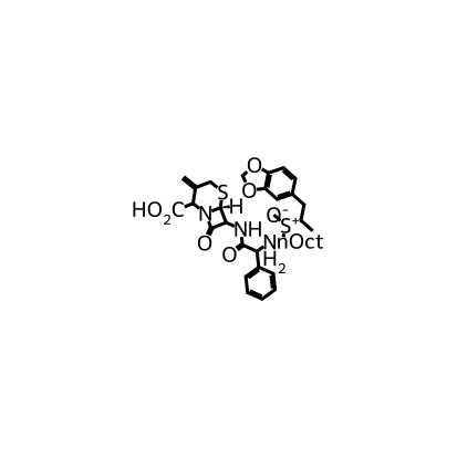 C=C1CS[C@@H]2C(NC(=O)C(N)c3ccccc3)C(=O)N2C1C(=O)O.CCCCCCCC[S+]([O-])C(C)Cc1ccc2c(c1)OCO2